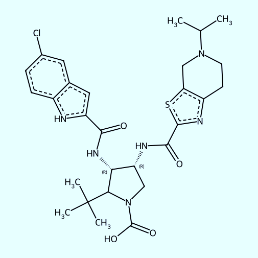 CC(C)N1CCc2nc(C(=O)N[C@@H]3CN(C(=O)O)C(C(C)(C)C)[C@@H]3NC(=O)c3cc4cc(Cl)ccc4[nH]3)sc2C1